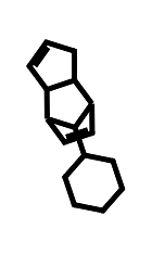 C1=CC2C3C=CC(C2C1)C3C1CCCCC1